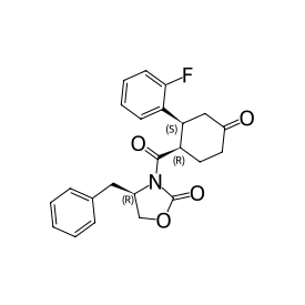 O=C1CC[C@@H](C(=O)N2C(=O)OC[C@H]2Cc2ccccc2)[C@@H](c2ccccc2F)C1